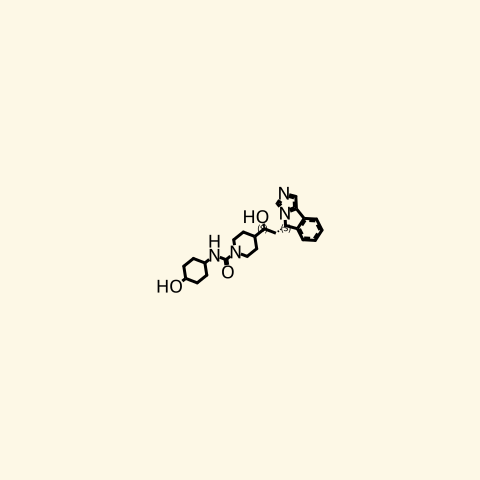 O=C(NC1CCC(O)CC1)N1CCC([C@@H](O)C[C@H]2c3ccccc3-c3cncn32)CC1